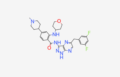 CN1CCC(c2ccc(C(=O)Nc3n[nH]c4ncc(Cc5cc(F)cc(F)c5)nc34)c(NC3CCOCC3)c2)CC1